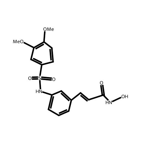 COc1ccc(S(=O)(=O)Nc2cccc(C=CC(=O)NO)c2)cc1OC